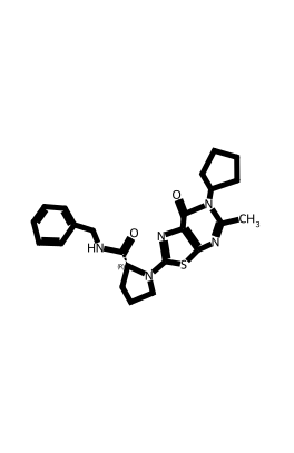 Cc1nc2sc(N3CCC[C@@H]3C(=O)NCc3ccccc3)nc2c(=O)n1C1CCCC1